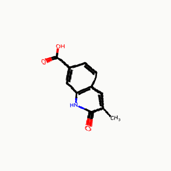 Cc1cc2ccc(C(=O)O)cc2[nH]c1=O